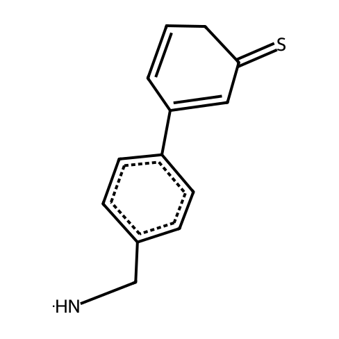 [NH]Cc1ccc(C2=CC(=S)CC=C2)cc1